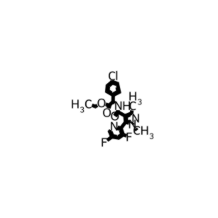 CCOC(=O)C(NC(=O)c1c(C)nn(C)c1-c1ncc(F)cc1F)c1ccc(Cl)cc1